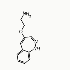 NCCOC1=Cc2ccccc2NN=C1